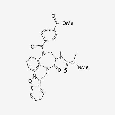 CN[C@@H](C)C(=O)NC1CN(C(=O)c2ccc(C(=O)OC)cc2)c2ccccc2N(Cc2noc3ccccc23)C1=O